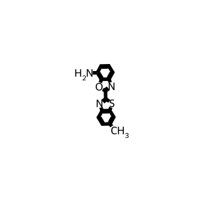 Cc1ccc2nc(-c3nc4cccc(N)c4o3)sc2c1